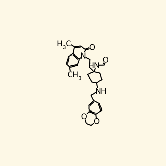 Cc1ccc2c(C)cc(=O)n(CCC3(NC=O)CCC(NCc4ccc5c(c4)OCCO5)CC3)c2c1